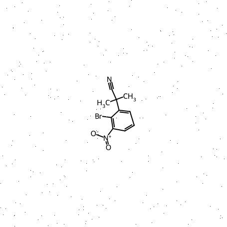 CC(C)(C#N)c1cccc([N+](=O)[O-])c1Br